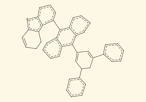 C1=Cc2sc3cccc(-c4c5ccccc5c(C5=CC(c6ccccc6)CC(c6ccccc6)=C5)c5ccccc45)c3c2CC1